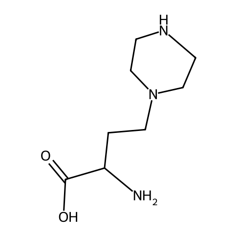 NC(CCN1CCNCC1)C(=O)O